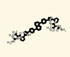 COC(=O)NC(C(=O)N1CCCC1c1ncc(-c2ccc(-c3cccc4c(-c5ccc(-c6cnc(C7CCCN7C(=O)C(NC(=O)OC)C(C)C)[nH]6)cc5)cccc34)cc2)[nH]1)C(C)C